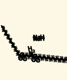 CCCCCCCCCCCCCCCC(=O)OC(=O)CC[C@H](N)C(=O)OC(=O)CCCCCCCCCCCCCCC.[NaH].[NaH]